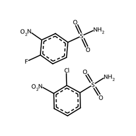 NS(=O)(=O)c1ccc(F)c([N+](=O)[O-])c1.NS(=O)(=O)c1cccc([N+](=O)[O-])c1Cl